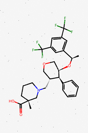 C[C@@H](O[C@@H]1COC[C@@H](CN2CCC[C@@](C)(C(=O)O)C2)[C@@H]1c1ccccc1)c1cc(C(F)(F)F)cc(C(F)(F)F)c1